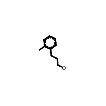 Cc1ccccc1CCC[O]